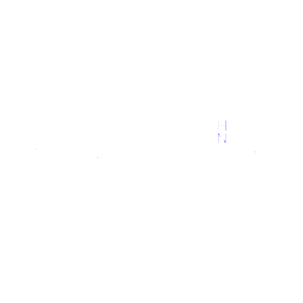 CSCOCCCNC(C)(C)C